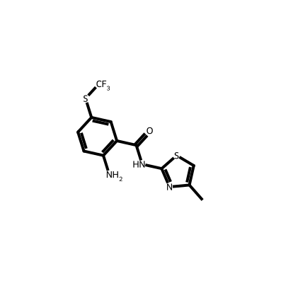 Cc1csc(NC(=O)c2cc(SC(F)(F)F)ccc2N)n1